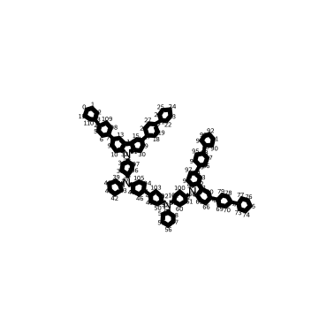 c1ccc(-c2ccc(-c3ccc4c(c3)c3cc(-c5ccc(-c6ccccc6)cc5)ccc3n4-c3ccc(N(c4ccccc4)c4ccc(-c5ccc(N(c6ccccc6)c6ccc(-n7c8ccc(-c9ccc(-c%10ccccc%10)cc9)cc8c8cc(-c9ccc(-c%10ccccc%10)cc9)ccc87)cc6)cc5)cc4)cc3)cc2)cc1